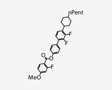 CCCCCC1CCC(c2ccc(-c3ccc(OC(=O)c4ccc(OC)cc4F)cc3)c(F)c2F)CC1